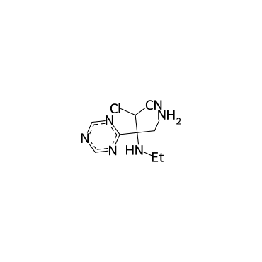 CCNC(CN)(c1ncncn1)C(Cl)C#N